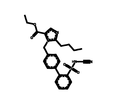 CCCCc1ncc(C(=O)OCC)n1Cc1ccc(-c2ccccc2S(=O)(=O)NC#N)cc1